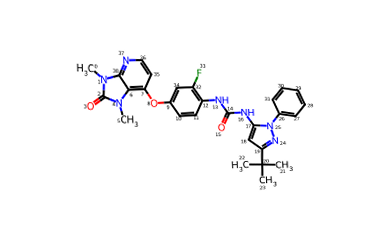 Cn1c(=O)n(C)c2c(Oc3ccc(NC(=O)Nc4cc(C(C)(C)C)nn4-c4ccccc4)c(F)c3)ccnc21